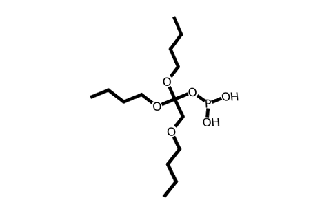 CCCCOCC(OCCCC)(OCCCC)OP(O)O